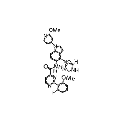 COc1cc(-n2ccc3c(N4C[C@@H]5C[C@H]4CN5)c(NC(=O)c4ccnc(-c5c(F)cccc5OC)n4)ccc32)ccn1